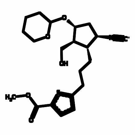 [C-]#[N+][C@@H]1C[C@@H](OC2CCCCO2)[C@H](CO)[C@H]1CCCc1ccc(C(=O)OC)s1